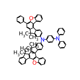 CC1(C)c2cc(N(c3ccc(N(c4ccccc4)c4ccccc4)cc3)c3ccc4c(c3)C(C)(C)c3c5c(c6oc7ccccc7c6c3-4)-c3ccccc3C5(C)C)ccc2-c2c1cc(-c1ccccc1)c1oc3ccccc3c21